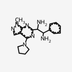 Cn1ncc2c(N3CCCC3)nc(C(N)C(N)c3ccccc3)nc21